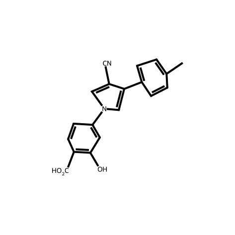 Cc1ccc(-c2cn(-c3ccc(C(=O)O)c(O)c3)cc2C#N)cc1